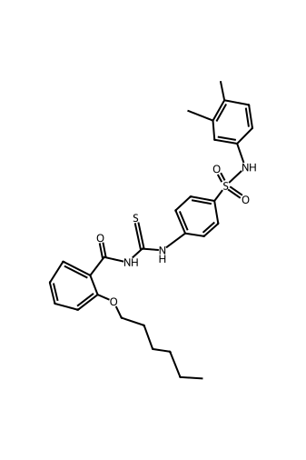 CCCCCCOc1ccccc1C(=O)NC(=S)Nc1ccc(S(=O)(=O)Nc2ccc(C)c(C)c2)cc1